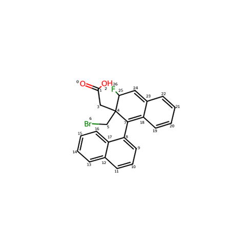 O=C(O)CC1(CBr)C(c2cccc3ccccc23)=c2ccccc2=CC1F